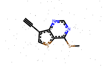 C#Cc1csc2c(SC)ncnc12